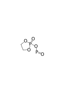 O=POP1(=O)OCCO1